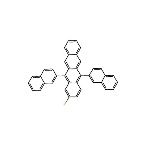 Brc1ccc2c(-c3ccc4ccccc4c3)c3cc4ccccc4cc3c(-c3ccc4ccccc4c3)c2c1